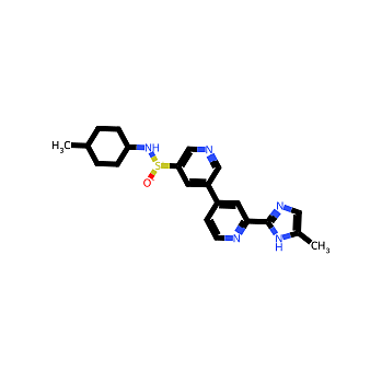 Cc1cnc(-c2cc(-c3cncc([S+]([O-])NC4CCC(C)CC4)c3)ccn2)[nH]1